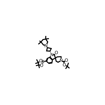 CC1(C)CN([C@H]2C[C@@H](N3C(=O)C4(CCN(C(=O)OC(C)(C)C)CC4)c4ccc(B5OC(C)(C)C(C)(C)O5)cc43)C2)CC(C)(C)C1